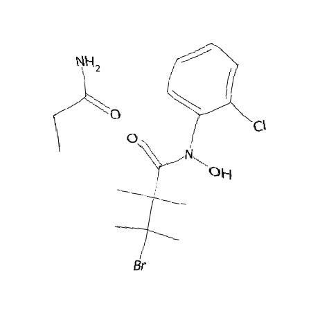 CC(C)(Br)C(C)(C)C(=O)N(O)c1ccccc1Cl.CCC(N)=O